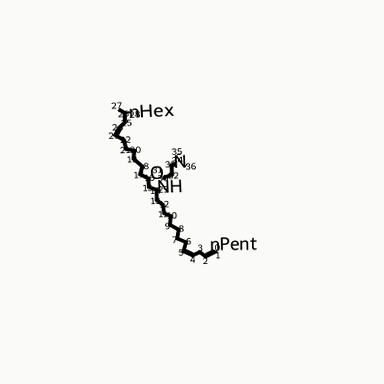 CCCCC/C=C\C/C=C\CCCCCCCCC(CCCCCCCC/C=C\C[C@@H](C)CCCCCC)NC(=O)CCN(C)C